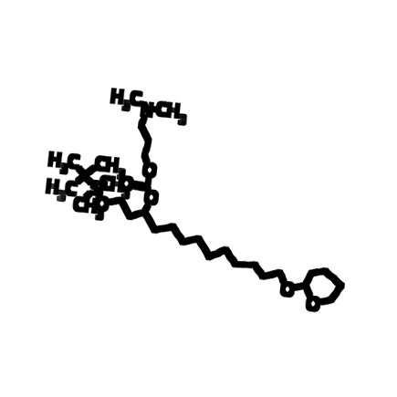 CN(C)CCCOC(=O)OC(CCCCCCCCCCOC1CCCCO1)CCO[Si](C)(C)C(C)(C)C